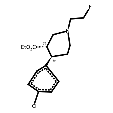 CCOC(=O)[C@@H]1CN(CCF)CC[C@H]1c1ccc(Cl)cc1